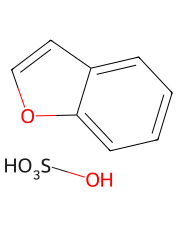 O=S(=O)(O)O.c1ccc2occc2c1